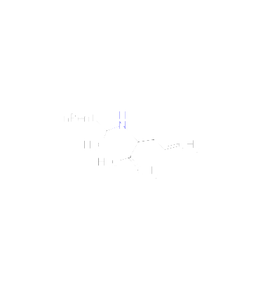 C=CCC(NC(C)CCCCC)C(=C)C